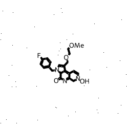 COCCOCC1=CN(Cc2ccc(F)cc2)C2C(=O)N=C3CN(O)C=CC3=C12